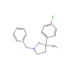 CC1(c2ccc(Cl)cc2)CCN(Cc2ccccc2)C1